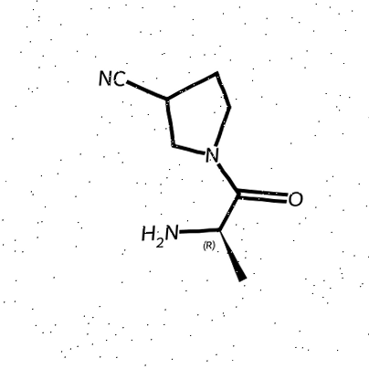 C[C@@H](N)C(=O)N1CCC(C#N)C1